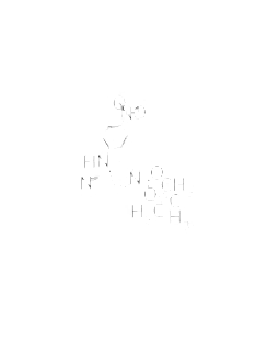 CC(C)(C)OC(=O)N1CCC(C#N)(Nc2ccc([N+](=O)[O-])cc2)CC1